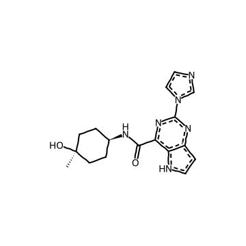 C[C@]1(O)CC[C@@H](NC(=O)c2nc(-n3ccnc3)nc3cc[nH]c23)CC1